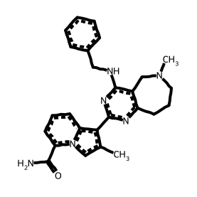 Cc1cn2c(C(N)=O)cccc2c1-c1nc2c(c(NCc3ccccc3)n1)CN(C)CCC2